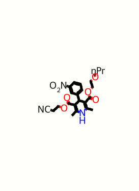 CCCOCCOC(=O)C1=C(C)NC(C)=C(C(=O)OCCC#N)C1c1cccc([N+](=O)[O-])c1